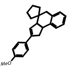 COc1ccc(C2=CC3C(C2)c2ccccc2CC32CCCC2)cc1